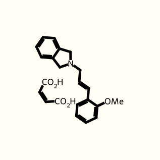 COc1ccccc1C=CCN1Cc2ccccc2C1.O=C(O)/C=C\C(=O)O